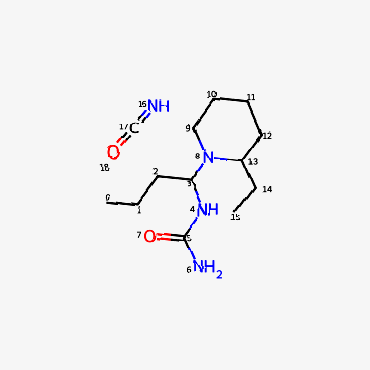 CCCC(NC(N)=O)N1CCCCC1CC.N=C=O